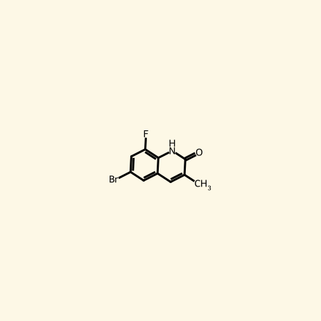 Cc1cc2cc(Br)cc(F)c2[nH]c1=O